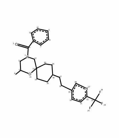 CC1CN(C(=O)c2ccccc2)CC2(CCC(CCc3ccc(C(F)(F)F)nc3)CC2)O1